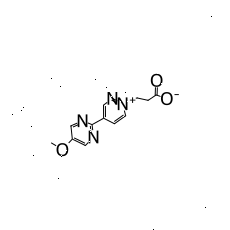 COc1cnc(-c2cc[n+](CCC(=O)[O-])nc2)nc1